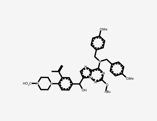 C=C(C)c1cc(C(O)c2cnc3c(N(Cc4ccc(OC)cc4)Cc4ccc(OC)cc4)nc(OCCCC)nn23)ccc1N1CCN(C(=O)O)CC1